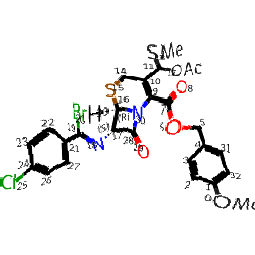 COc1ccc(COC(=O)C2=C(C(OC(C)=O)SC)CS[C@@H]3[C@@H](N=C(Br)c4ccc(Cl)cc4)C(=O)N23)cc1